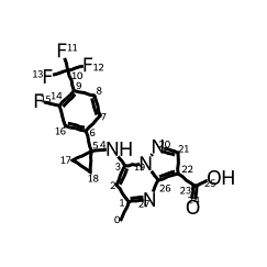 Cc1cc(NC2(c3ccc(C(F)(F)F)c(F)c3)CC2)n2ncc(C(=O)O)c2n1